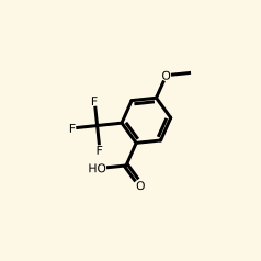 COc1ccc(C(=O)O)c(C(F)(F)F)c1